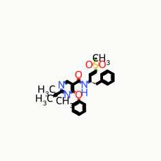 CC(C)(C)c1ncc(C(=O)N[C@H](/C=C/S(C)(=O)=O)Cc2ccccc2)c(Oc2ccccc2)n1